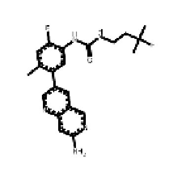 Cc1cc(F)c(NC(=O)NCCC(C)(C)F)cc1-c1cnc2cc(N)ncc2c1